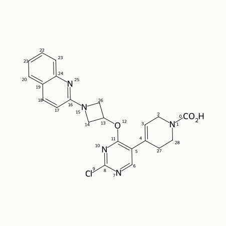 O=C(O)N1CC=C(c2cnc(Cl)nc2OC2CN(c3ccc4ccccc4n3)C2)CC1